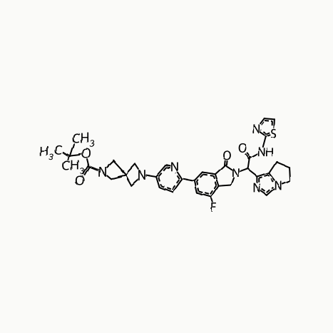 CC(C)(C)OC(=O)N1CC2(C1)CN(c1ccc(-c3cc(F)c4c(c3)C(=O)N(C(C(=O)Nc3nccs3)c3ncn5c3CCC5)C4)nc1)C2